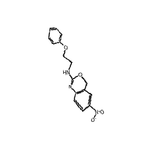 O=[N+]([O-])c1ccc2c(c1)COC(NCCOc1ccccc1)=N2